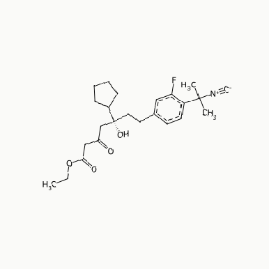 [C-]#[N+]C(C)(C)c1ccc(CC[C@@](O)(CC(=O)CC(=O)OCC)C2CCCC2)cc1F